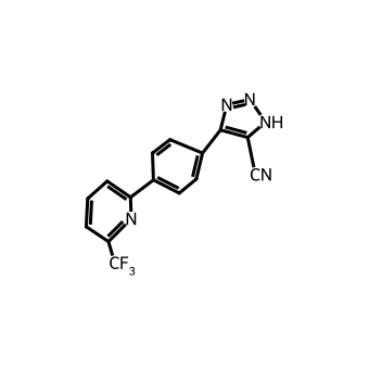 N#Cc1[nH]nnc1-c1ccc(-c2cccc(C(F)(F)F)n2)cc1